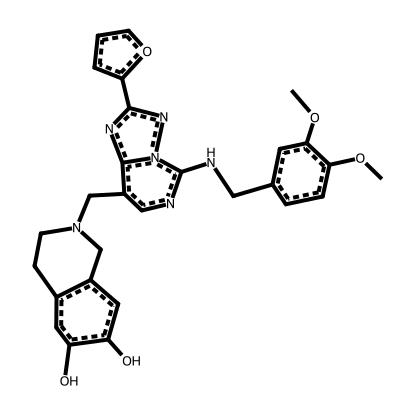 COc1ccc(CNc2ncc(CN3CCc4cc(O)c(O)cc4C3)c3nc(-c4ccco4)nn23)cc1OC